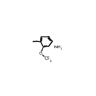 Cc1ccccc1OC(F)(F)F.N